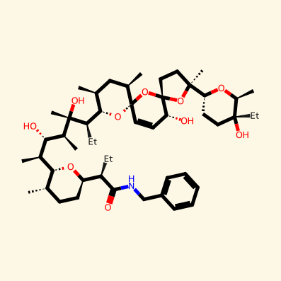 CC[C@H]([C@H]1O[C@]2(C=C[C@@H](O)[C@]3(CC[C@@](C)([C@H]4CC[C@](O)(CC)[C@H](C)O4)O3)O2)[C@H](C)C[C@@H]1C)[C@@](C)(O)[C@@H](C)[C@@H](O)[C@H](C)[C@@H]1O[C@@H]([C@@H](CC)C(=O)NCc2ccccc2)CC[C@@H]1C